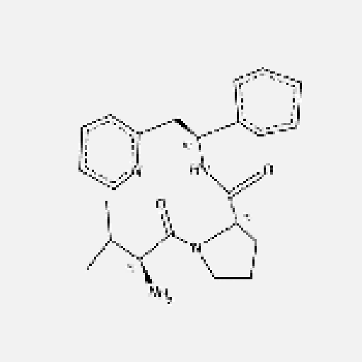 CC(C)[C@H](N)C(=O)N1CCC[C@H]1C(=O)N[C@@H](Cc1ccccn1)c1ccccc1